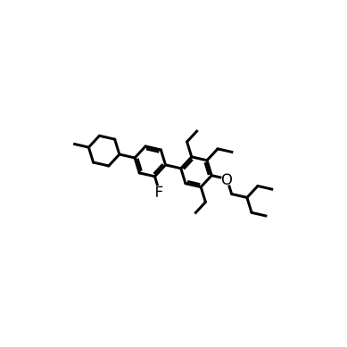 CCc1cc(-c2ccc(C3CCC(C)CC3)cc2F)c(CC)c(CC)c1OCC(CC)CC